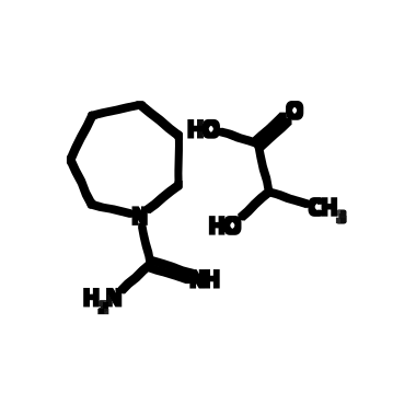 CC(O)C(=O)O.N=C(N)N1CCCCCC1